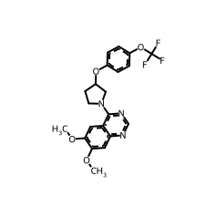 COc1cc2ncnc(N3CCC(Oc4ccc(OC(F)(F)F)cc4)C3)c2cc1OC